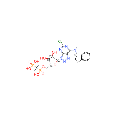 CN(c1nc(Cl)nc2c1nnn2[C@@H]1O[C@H](COP(=O)(O)C(C)(C)P(=O)(O)O)[C@@H](O)[C@H]1O)[C@H]1CCc2ccccc21